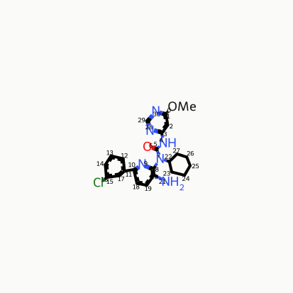 COc1cc(NC(=O)N(c2nc(-c3cccc(Cl)c3)ccc2N)C2CCCCC2)ncn1